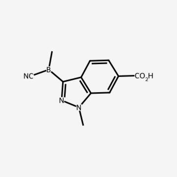 CB(C#N)c1nn(C)c2cc(C(=O)O)ccc12